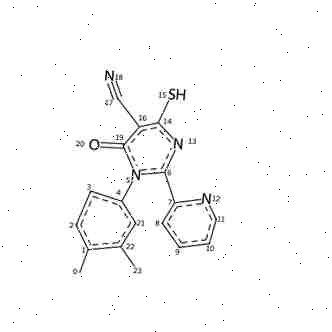 Cc1ccc(-n2c(-c3ccccn3)nc(S)c(C#N)c2=O)cc1C